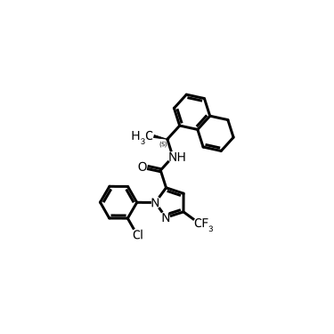 C[C@H](NC(=O)c1cc(C(F)(F)F)nn1-c1ccccc1Cl)c1cccc2c1C=CCC2